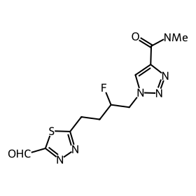 CNC(=O)c1cn(CC(F)CCc2nnc(C=O)s2)nn1